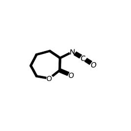 O=C=NC1CCCCOC1=O